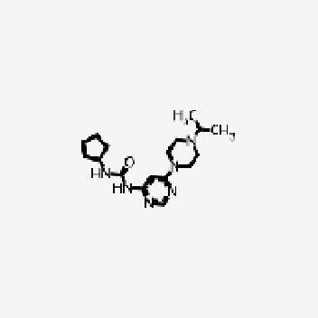 CC(C)N1CCN(c2cc(NC(=O)NC3CCCC3)ncn2)CC1